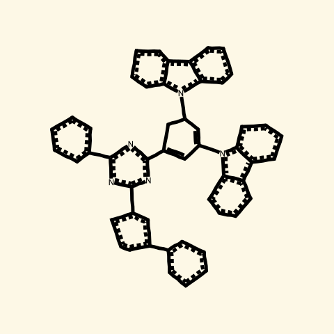 C1=C(c2nc(-c3ccccc3)nc(-c3cccc(-c4ccccc4)c3)n2)CC(n2c3ccccc3c3ccccc32)C=C1n1c2ccccc2c2ccccc21